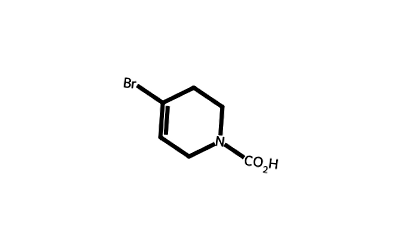 O=C(O)N1CC=C(Br)CC1